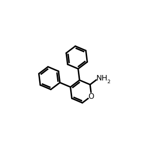 NC1OC=CC(c2ccccc2)=C1c1ccccc1